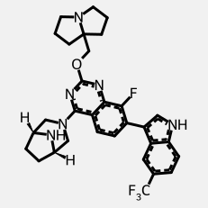 Fc1c(-c2c[nH]c3ccc(C(F)(F)F)cc23)ccc2c(N3C[C@H]4CC[C@@H](C3)N4)nc(OCC34CCCN3CCC4)nc12